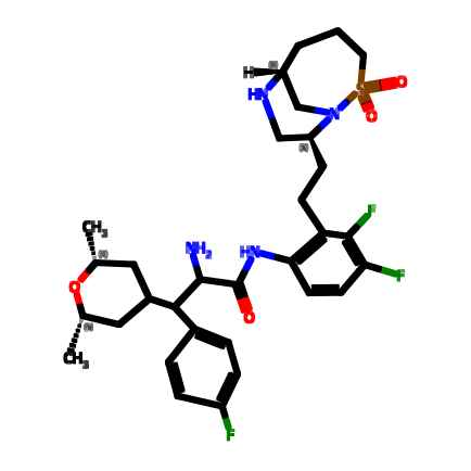 C[C@@H]1CC(C(c2ccc(F)cc2)C(N)C(=O)Nc2ccc(F)c(F)c2CC[C@H]2CN[C@@H]3CCCS(=O)(=O)N2C3)C[C@H](C)O1